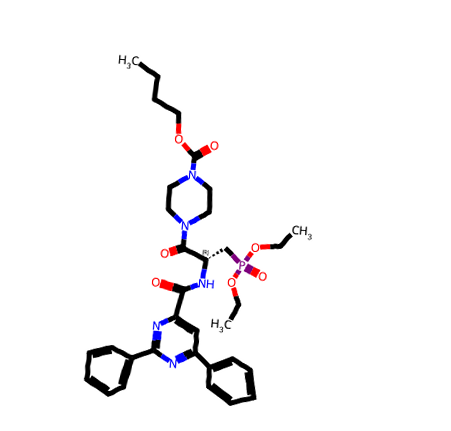 CCCCOC(=O)N1CCN(C(=O)[C@H](CP(=O)(OCC)OCC)NC(=O)c2cc(-c3ccccc3)nc(-c3ccccc3)n2)CC1